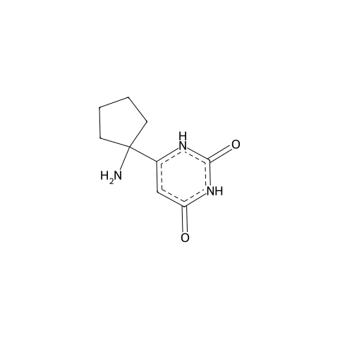 NC1(c2cc(=O)[nH]c(=O)[nH]2)CCCC1